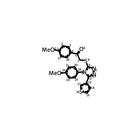 COc1ccc(C(=O)CSc2nnc(-c3ccsc3)n2-c2ccc(OC)cc2)cc1